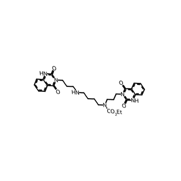 CCOC(=O)N(CCCCNCCCn1c(=O)[nH]c2ccccc2c1=O)CCCn1c(=O)[nH]c2ccccc2c1=O